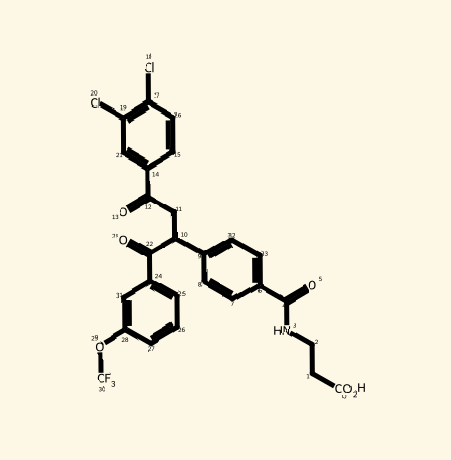 O=C(O)CCNC(=O)c1ccc(C(CC(=O)c2ccc(Cl)c(Cl)c2)C(=O)c2cccc(OC(F)(F)F)c2)cc1